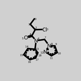 CCC(Cl)C(=O)N(Cn1cccn1)c1ccccc1